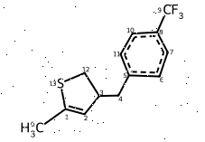 CC1=CC(Cc2ccc(C(F)(F)F)cc2)CS1